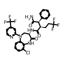 NC(=O)[C@@H](c1ccccc1)[C@@H](CCC(F)(F)F)C(=O)N[C@H]1CN(c2cc(C(F)(F)F)ccn2)c2cccc(Cl)c2NC1=O